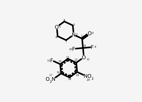 O=C(N1CCOCC1)C(F)(F)Oc1cc(F)c([N+](=O)[O-])cc1[N+](=O)[O-]